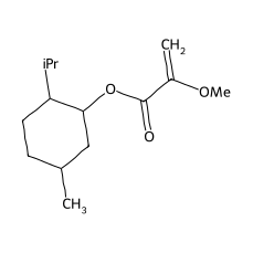 C=C(OC)C(=O)OC1CC(C)CCC1C(C)C